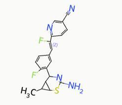 CC1C2SC(N)=NC(c3cc(/C=C(\F)c4ccc(C#N)cn4)ccc3F)C12